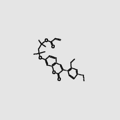 C=CC(=O)OC(C)(C)CC(C)(C)Oc1ccc2cc(-c3ccc(CC)cc3CC)c(=O)oc2c1